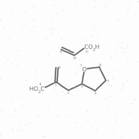 C=C(CC1CCCO1)C(=O)O.C=CC(=O)O